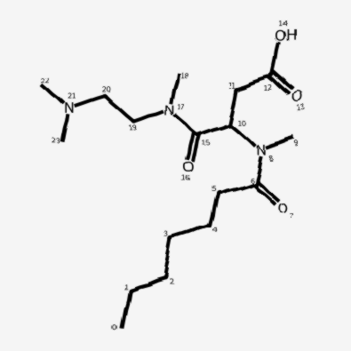 CCCCCCC(=O)N(C)C(CC(=O)O)C(=O)N(C)CCN(C)C